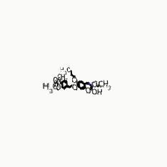 CCCCOc1cc(/C=C(/OCC)C(=O)O)ccc1OCCc1ccc(N(C)S(C)(=O)=O)cc1